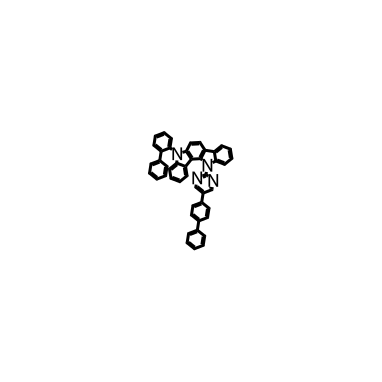 c1ccc(-c2ccc(-c3cnc(-n4c5ccccc5c5ccc6c(c7ccccc7n6-c6ccccc6-c6ccccc6)c54)nc3)cc2)cc1